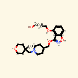 O=C(O)C1(CN2CCC(COc3noc4cccc(OCC(F)(F)F)c34)CC2)CCOCC1.O=S(=O)(O)O